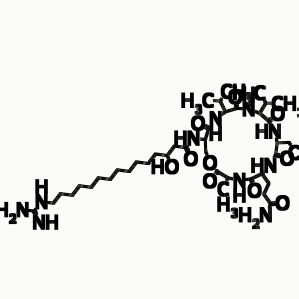 CC1NC(=O)C(CCC(N)=O)NC(=O)C(CO)NC(=O)C(C(C)C)NC(=O)C(C(C)C)NC(=O)C(NC(=O)CC(O)CCCCCCCCCCCCNC(=N)N)COC1=O